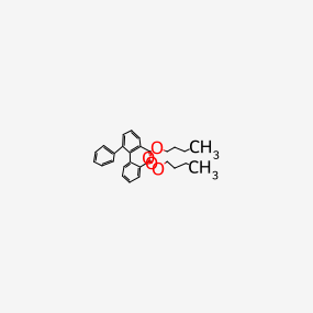 CCCCOC(=O)c1ccccc1-c1c(C(=O)OCCCC)cccc1-c1ccccc1